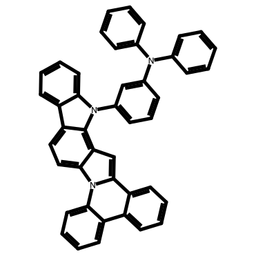 c1ccc(N(c2ccccc2)c2cccc(-n3c4ccccc4c4ccc5c(cc6c7ccccc7c7ccccc7n65)c43)c2)cc1